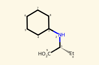 CC[C@@H](NC1CCCCC1)C(=O)O